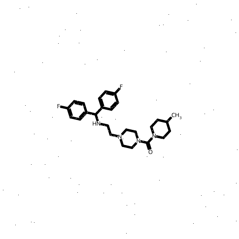 CC1CCN(C(=O)N2CCN(CCNC(c3ccc(F)cc3)c3ccc(F)cc3)CC2)CC1